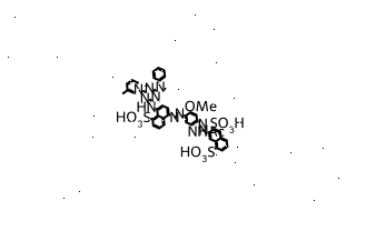 COc1cc(N=Nc2cc3c(S(=O)(=O)O)cccc3cc2S(=O)(=O)O)c(NC(C)=O)cc1N=Nc1ccc(Nc2nc(N(C)c3ccccc3)nc(-[n+]3cccc(C)c3)n2)c2c(S(=O)(=O)O)cccc12